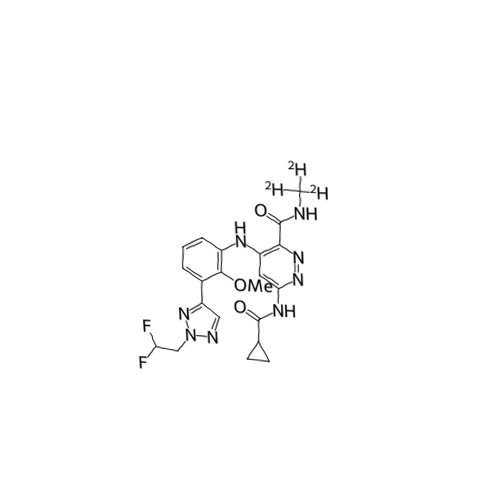 [2H]C([2H])([2H])NC(=O)c1nnc(NC(=O)C2CC2)cc1Nc1cccc(-c2cnn(CC(F)F)n2)c1OC